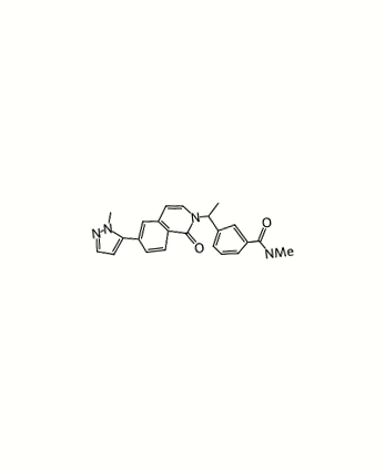 CNC(=O)c1cccc(C(C)n2ccc3cc(-c4ccnn4C)ccc3c2=O)c1